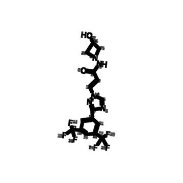 O=C(C=Cn1cnc(-c2cc(C(F)(F)F)cc(C(F)(F)F)c2)n1)NN1CC(O)C1